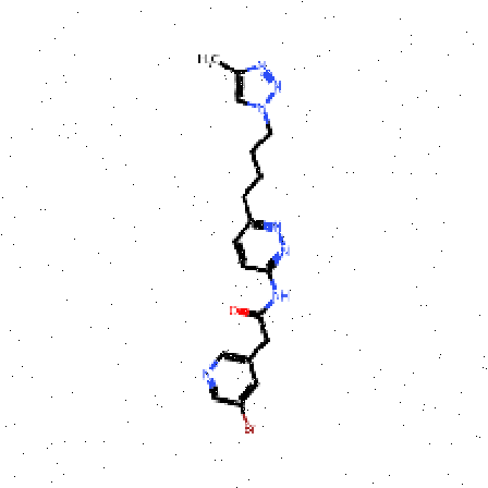 Cc1cn(CCCCc2ccc(NC(=O)Cc3cncc(Br)c3)nn2)nn1